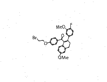 COc1ccc2c(c1)CCC(c1ccc(F)c(OC)c1)=C2C(=O)c1ccc(OCCBr)cc1